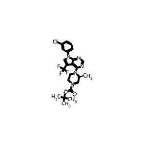 C[C@H]1CN(C(=O)OC(C)(C)C)CCN1c1ncnc2c1c(C(F)(F)F)cn2-c1cccc(Cl)c1